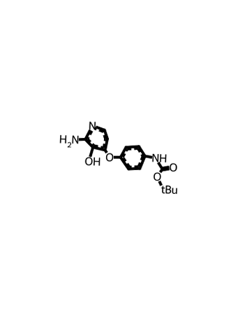 CC(C)(C)OC(=O)Nc1ccc(Oc2ccnc(N)c2O)cc1